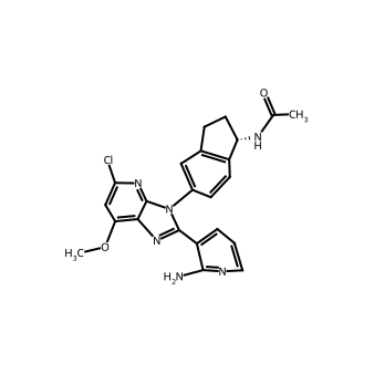 COc1cc(Cl)nc2c1nc(-c1cccnc1N)n2-c1ccc2c(c1)CC[C@@H]2NC(C)=O